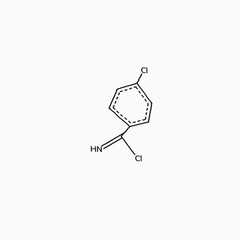 N=C(Cl)c1ccc(Cl)cc1